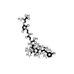 CN[C@H](C(=O)NC(C(=O)N(C)[C@H](/C=C(\C)C(=O)N[C@H](CCC(=O)NCCN1C(=O)CC(SC[C@H](N)C(=O)O)C1=O)C(=O)O)C(C)C)C(C)(C)C)C(C)(C)c1cccc(Br)c1